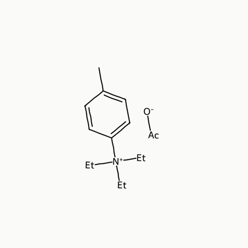 CC(=O)[O-].CC[N+](CC)(CC)c1ccc(C)cc1